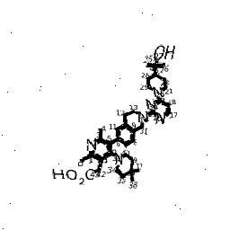 Cc1nc(C)c(-c2ccc3c(c2)CCN(c2nccc(N4CCC(C(C)(C)O)CC4)n2)C3)c(N2CCC(C)(C)CC2)c1CC(=O)O